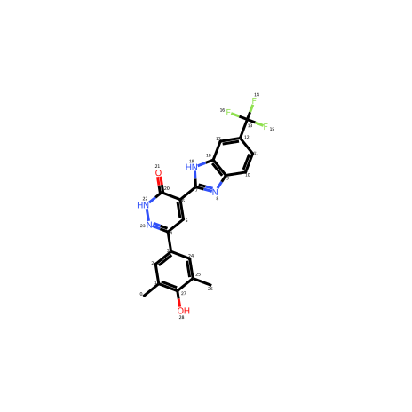 Cc1cc(-c2cc(-c3nc4ccc(C(F)(F)F)cc4[nH]3)c(=O)[nH]n2)cc(C)c1O